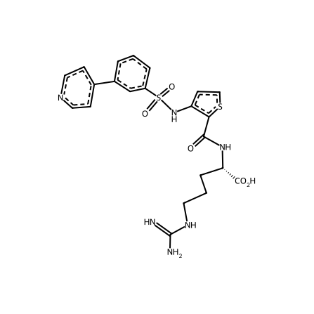 N=C(N)NCCC[C@H](NC(=O)c1sccc1NS(=O)(=O)c1cccc(-c2ccncc2)c1)C(=O)O